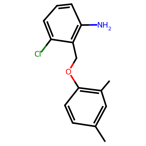 Cc1ccc(OCc2c(N)cccc2Cl)c(C)c1